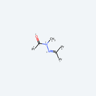 CC(C)C(=O)N(C)N=C(C(C)C)C(C)C